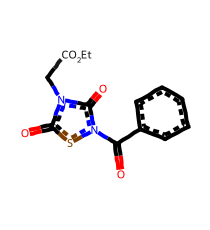 CCOC(=O)Cn1c(=O)sn(C(=O)c2ccccc2)c1=O